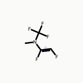 CN(/C(F)=C/F)C(F)(F)F